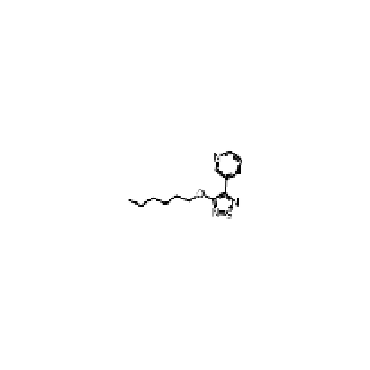 CCCCCCOc1nsnc1-c1cccnc1